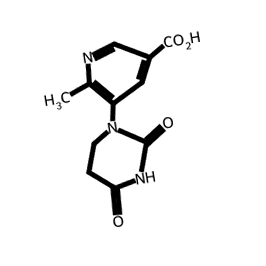 Cc1ncc(C(=O)O)cc1N1CCC(=O)NC1=O